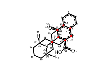 O=C(O)c1nc2ccccc2c(=O)n1C1C[C@H]2CCC[C@@H](C1)N2C1C[C@H]2CCC[C@@H](C1)C2